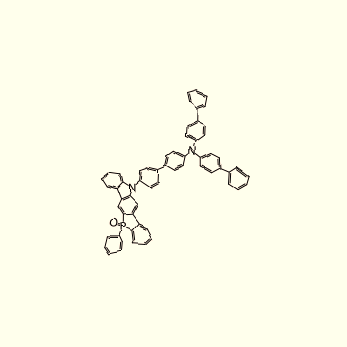 O=P1(c2ccccc2)c2ccccc2-c2cc3c(cc21)c1ccccc1n3-c1ccc(-c2ccc(N(c3ccc(-c4ccccc4)cc3)c3ccc(-c4ccccc4)cc3)cc2)cc1